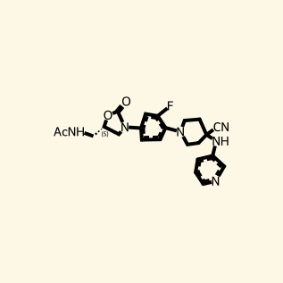 CC(=O)NC[C@H]1CN(c2ccc(N3CCC(C#N)(Nc4cccnc4)CC3)c(F)c2)C(=O)O1